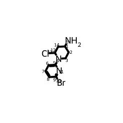 NC1CCN(c2cccc(Br)n2)C(Cl)C1